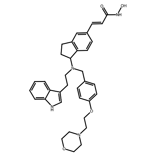 O=C(/C=C/c1ccc2c(c1)CCC2N(CCc1c[nH]c2ccccc12)Cc1ccc(OCCN2CCOCC2)cc1)NO